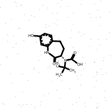 CC(C)(C)N(C(=O)O)[C@H]1CCc2ccc(O)cc2NC1=O